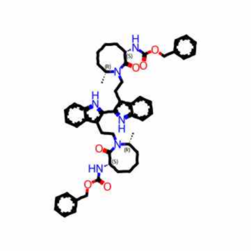 C[C@@H]1CCCC[C@H](NC(=O)OCc2ccccc2)C(=O)N1CCc1c(-c2[nH]c3ccccc3c2CCN2C(=O)[C@@H](NC(=O)OCc3ccccc3)CCCC[C@H]2C)[nH]c2ccccc12